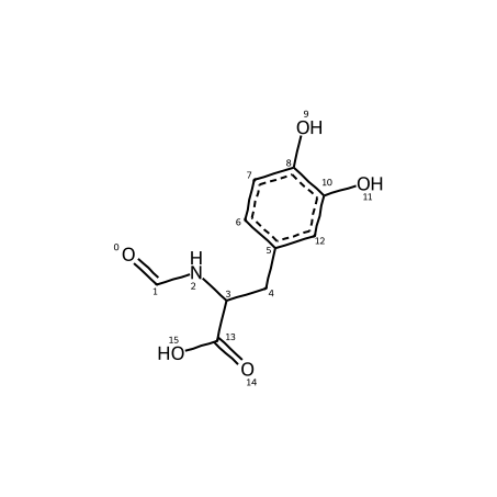 O=CNC(Cc1ccc(O)c(O)c1)C(=O)O